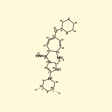 C[C@@H]1C[C@H](C)CN(C2=CN(C(=N)C3C=C=C(OC4CCCCC4)C=CC3N)CN2)C1